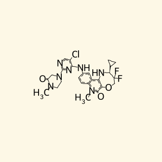 CN1CCN(c2ncc(Cl)c(Nc3ccc4c(c3)c3c(c(=O)n4C)OCC(F)(F)[C@H](C4CC4)N3)n2)CC1=O